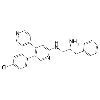 NC(CNc1cc(-c2ccncc2)c(-c2ccc(Cl)cc2)cn1)Cc1ccccc1